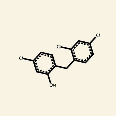 Oc1cc(Cl)ccc1Cc1ccc(Cl)cc1Cl